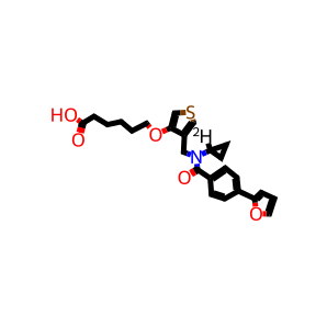 [2H]C1(N(Cc2cscc2OCCCCCC(=O)O)C(=O)c2ccc(-c3ccco3)cc2)CC1